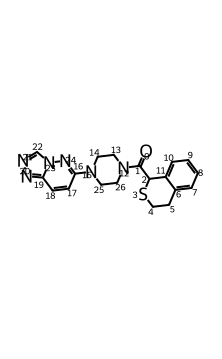 O=C(C1SCCc2ccccc21)N1CCN(c2ccc3nncn3n2)CC1